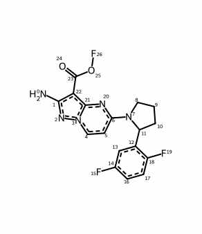 Nc1nn2ccc(N3CCCC3c3cc(F)ccc3F)nc2c1C(=O)OF